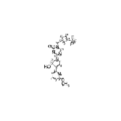 COc1cccc(C2=CCN(c3ncn(Cc4ccc(C(F)(F)F)s4)c(=O)n3)CC2O)n1